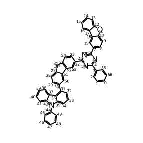 c1ccc(-c2nc(-c3ccc4oc5ccccc5c4c3)nc(-c3ccc4sc5ccc(-c6cccc7c6c6ccccc6n7-c6ccccc6)cc5c4c3)n2)cc1